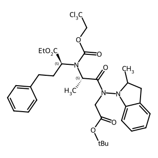 CCOC(=O)[C@H](CCc1ccccc1)N(C(=O)OCC(Cl)(Cl)Cl)[C@@H](C)C(=O)N(CC(=O)OC(C)(C)C)N1c2ccccc2CC1C